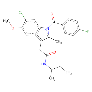 CCC(C)NC(=O)Cc1c(C)n(C(=O)c2ccc(F)cc2)c2cc(Cl)c(OC)cc12